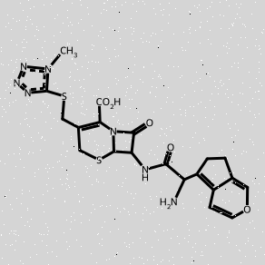 Cn1nnnc1SCC1=C(C(=O)O)N2C(=O)C(NC(=O)C(N)C3=C4C=COC=C4CC3)C2SC1